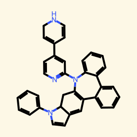 C1=CC(c2ccnc(N3C4=C(C=C5C=CN(c6ccccc6)C5C4)c4ccccc4-c4ccccc43)c2)=CCN1